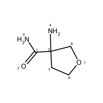 NC(=O)C1(N)CCOC1